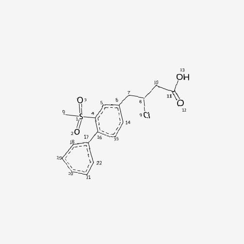 CS(=O)(=O)c1cc(CC(Cl)CC(=O)O)ccc1-c1ccccc1